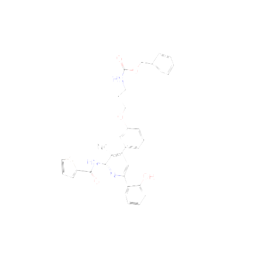 N#Cc1c(-c2cccc(OCCCNC(=O)OCc3ccccc3)c2)cc(-c2ccccc2O)nc1NC(=O)c1cccs1